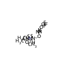 Cc1ccc(C(C)C)c(-n2c(C)cs/c2=N\C(=S)NCCc2cccc(-c3ncn(-c4ccc(OC(F)(F)F)cc4)n3)c2)c1